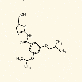 CC(C)COc1cc(OC(C)C)cc(C(=O)NC2=NCC(CO)S2)c1